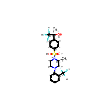 C[C@@H]1CN(c2ccccc2C(F)(F)F)CCN1S(=O)(=O)c1ccc([C@](C)(O)C(F)(F)F)cc1